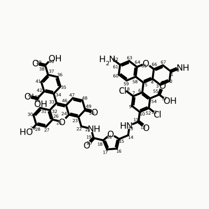 N=c1ccc2c(-c3c(Cl)cc(C(=O)NCc4ccc(C(=O)NCc5c6oc7cc(O)ccc7c(-c7ccc(C(=O)O)cc7C(=O)O)c-6ccc5=O)o4)c(Cl)c3C(=O)O)c3ccc(N)cc3oc-2c1